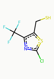 FC(F)(F)c1nc(Cl)sc1CS